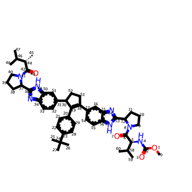 COC(=O)N[C@H](C(=O)N1CCCC1c1nc2cc(C3=C(c4ccc(C(C)(C)C)cc4)C(c4ccc5nc(C6CCCN6C(=O)[C@@H](C)C(C)C)[nH]c5c4)CC3)ccc2[nH]1)C(C)C